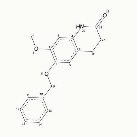 COc1cc2c(cc1OCc1ccccc1)CCC(=O)N2